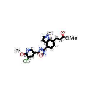 CCn1ccc2c(-c3noc(-c4cnc(OC(C)C)c(Cl)c4)n3)ccc(CCC(=O)OC)c21